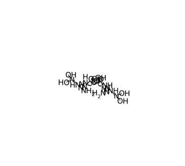 Nc1nc(NCCCN(CCO)CCO)nc(Nc2ccc(/C=C/c3ccc(Nc4nc(N)nc(NCCCN(CCO)CCO)n4)cc3S(=O)(=O)O)c(S(=O)(=O)O)c2)n1